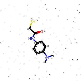 CN(C)c1ccc(NC(=O)CS)cc1